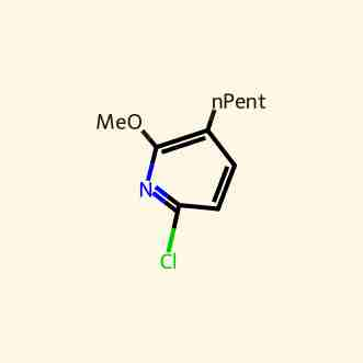 CCCCCc1ccc(Cl)nc1OC